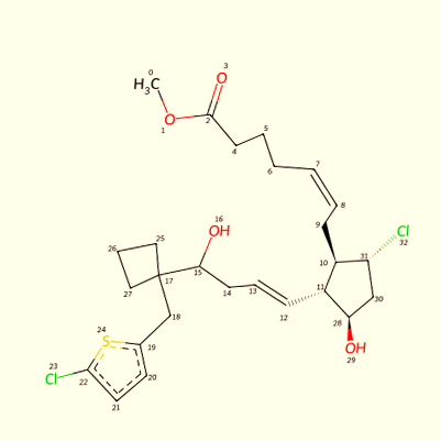 COC(=O)CCC/C=C\C[C@@H]1[C@@H](/C=C/CC(O)C2(Cc3ccc(Cl)s3)CCC2)[C@H](O)C[C@H]1Cl